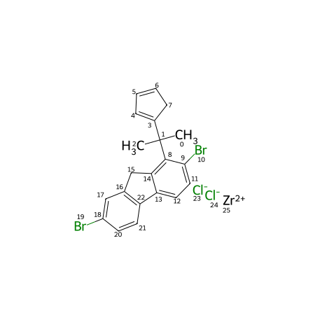 CC(C)(C1=CC=CC1)c1c(Br)ccc2c1Cc1cc(Br)ccc1-2.[Cl-].[Cl-].[Zr+2]